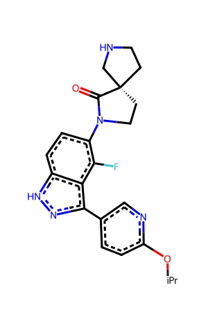 CC(C)Oc1ccc(-c2n[nH]c3ccc(N4CC[C@]5(CCNC5)C4=O)c(F)c23)cn1